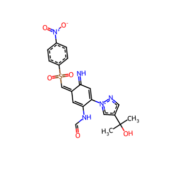 CC(C)(O)c1cnn(C2=CC(=N)/C(=C\S(=O)(=O)c3ccc([N+](=O)[O-])cc3)C=C2NC=O)c1